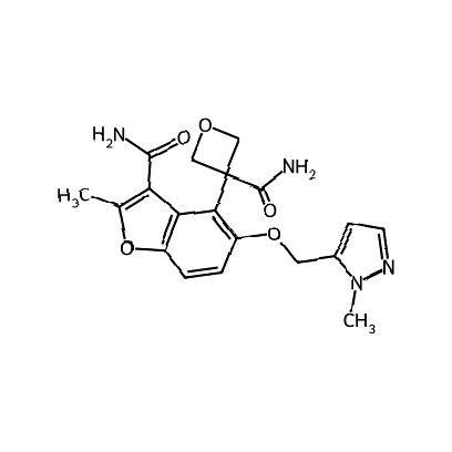 Cc1oc2ccc(OCc3ccnn3C)c(C3(C(N)=O)COC3)c2c1C(N)=O